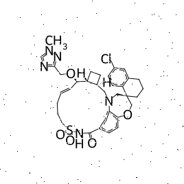 Cn1cnc(CO[C@@H]2/C=C/CCCS(=O)(=O)NC(=O)c3ccc4c(c3)N(C[C@@H]3CC[C@H]32)C[C@@]2(CCCc3cc(Cl)ccc32)CO4)n1